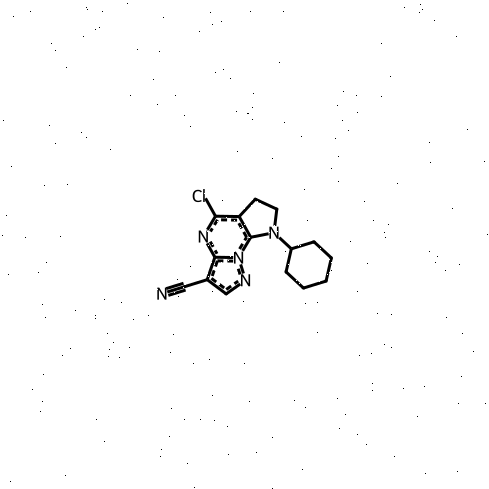 N#Cc1cnn2c3c(c(Cl)nc12)CCN3C1CCCCC1